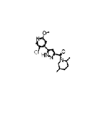 COc1cc(-c2cc(C(=O)N3CC(C)CCC3C)n[nH]2)c(Cl)cn1